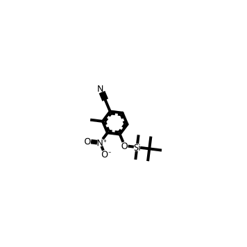 Cc1c(C#N)ccc(O[Si](C)(C)C(C)(C)C)c1[N+](=O)[O-]